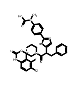 CN(C(=O)O)c1ccc(-c2ncc(C(Cc3ccccc3)C(=O)N3CCC[C@@]4(C3)OC(=O)Nc3ccc(Cl)c(F)c34)[nH]2)cc1